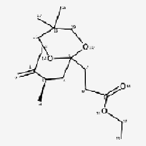 C=C(I)[C@H](C)CC1(CCC(=O)OCC)OCC(C)(C)CO1